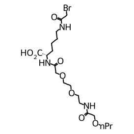 CCCOCC(=O)NCCOCCOCC(=O)N[C@@H](CCCCNC(=O)CBr)C(=O)O